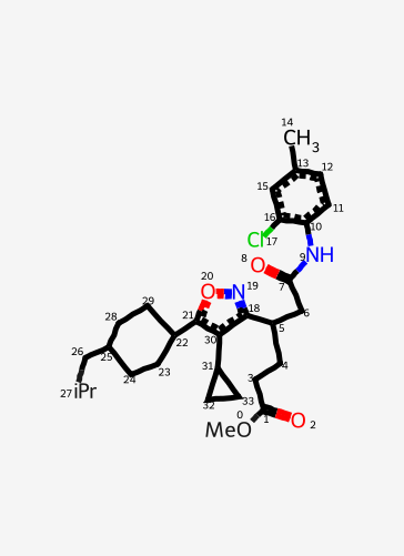 COC(=O)CCC(CC(=O)Nc1ccc(C)cc1Cl)c1noc(C2CCC(CC(C)C)CC2)c1C1CC1